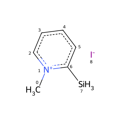 C[n+]1ccccc1[SiH3].[I-]